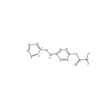 CN(C)C(=S)Cc1ccc(OCc2ccccc2)cc1